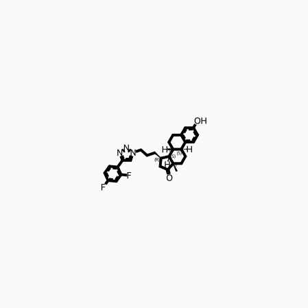 C[C@]12CC[C@@H]3c4ccc(O)cc4CC[C@H]3[C@@H]1[C@H](CCCn1cc(-c3ccc(F)cc3F)nn1)CC2=O